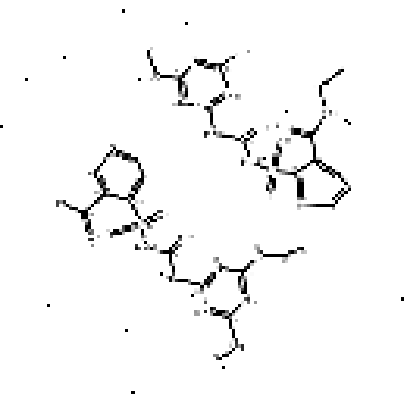 CCOC(=O)c1ccccc1S(=O)(=O)NC(=O)Nc1nc(Cl)cc(OC)n1.CCOc1nc(NC)nc(NC(=O)NS(=O)(=O)c2ccccc2C(=O)O)n1